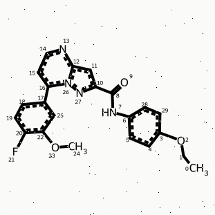 CCOc1ccc(NC(=O)c2cc3nccc(-c4ccc(F)c(OC)c4)n3n2)cc1